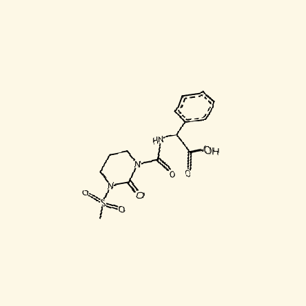 CS(=O)(=O)N1CCCN(C(=O)NC(C(=O)O)c2ccccc2)C1=O